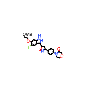 COCCOc1cc2[nH]nc(-c3cc(-c4ccc(N5CCOCC5=O)cc4)no3)c2cc1F